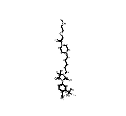 COCCOCC(=O)N1CCN(CCCCCN2C(=S)N(c3ccc(C#N)c(C(F)(F)F)c3)C(=O)C2(C)C)CC1